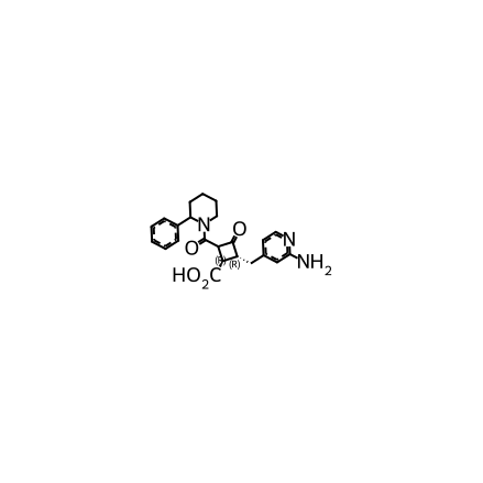 Nc1cc(C[C@H]2C(=O)C(C(=O)N3CCCCC3c3ccccc3)[C@@H]2C(=O)O)ccn1